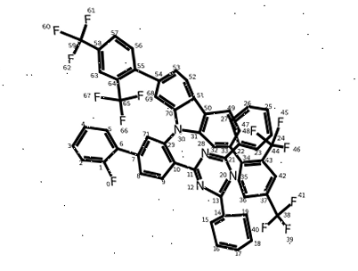 Fc1ccccc1-c1ccc(-c2nc(-c3ccccc3)nc(-c3ccccc3)n2)c(-n2c3cc(-c4ccc(C(F)(F)F)cc4C(F)(F)F)ccc3c3ccc(-c4ccc(C(F)(F)F)cc4C(F)(F)F)cc32)c1